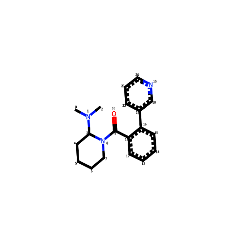 CN(C)C1CCCCN1C(=O)c1ccccc1-c1[c]nccc1